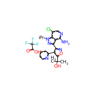 CC(C)n1nc(-c2noc(C(C)(C)O)c2-c2ccccn2)c2c(N)ncc(Cl)c21.O=C(O)C(F)(F)F